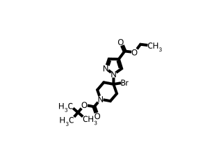 CCOC(=O)c1cnn(C2(Br)CCN(C(=O)OC(C)(C)C)CC2)c1